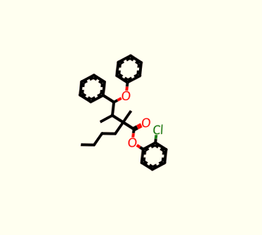 CCCCC(C)(C(=O)Oc1ccccc1Cl)C(C)C(Oc1ccccc1)c1ccccc1